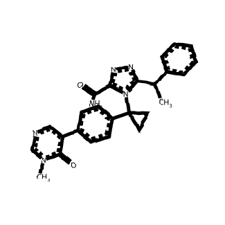 CC(c1ccccc1)c1nnc(C(N)=O)n1C1(c2ccc(-c3cncn(C)c3=O)cc2)CC1